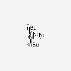 CCC[CH2][Ni][CH2]CCC.[Ni].[Ni]